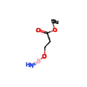 CC(C)(C)OC(=O)CCOB=N